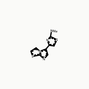 CNc1nc(-c2cnc3sccn23)cs1